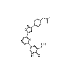 CNCc1ccc(-c2cc(-c3cncc(-c4c[nH]c(=O)c(CO)c4)n3)on2)cc1